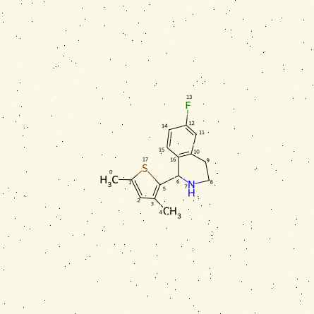 Cc1cc(C)c(C2NCCc3cc(F)ccc32)s1